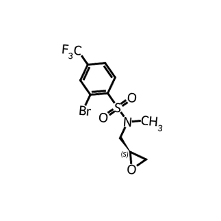 CN(C[C@H]1CO1)S(=O)(=O)c1ccc(C(F)(F)F)cc1Br